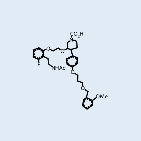 COc1ccccc1COCCCOc1ccc(C2CCN(C(=O)O)CC2OCCOc2cccc(F)c2CCNC(C)=O)cc1